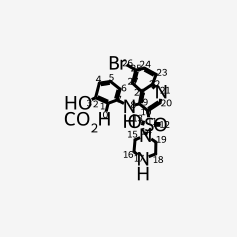 O=C(O)c1c(O)cccc1Nc1c(S(=O)(=O)N2CCNCC2)cnc2ccc(Br)cc12